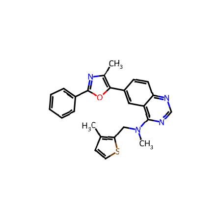 Cc1ccsc1CN(C)c1ncnc2ccc(-c3oc(-c4ccccc4)nc3C)cc12